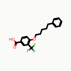 O=C(O)c1ccc(OCCCCCc2ccccc2)c(C(F)(F)F)c1